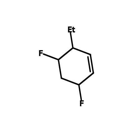 CCC1C=CC(F)CC1F